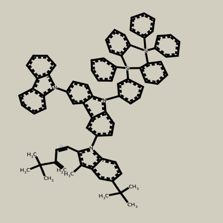 C=C(/C=C\c1c(C)c2cc(C(C)(C)C)ccc2n1-c1ccc2c(c1)c1cc(-n3c4ccccc4c4ccccc43)ccc1n2-c1cccc([Si]2(c3ccccc3)c3ccccc3[Si](c3ccccc3)(c3ccccc3)c3ccccc32)c1)C(C)(C)C